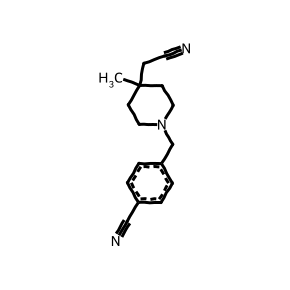 CC1(CC#N)CCN(Cc2ccc(C#N)cc2)CC1